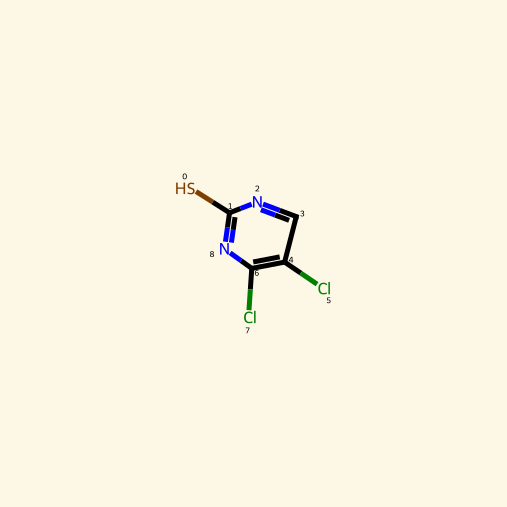 Sc1ncc(Cl)c(Cl)n1